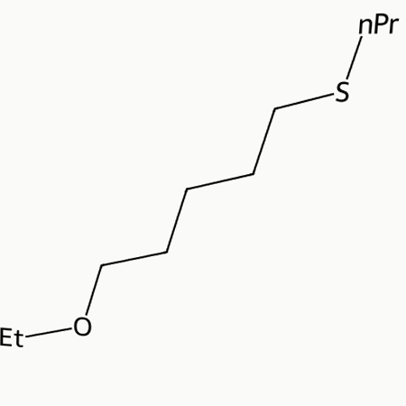 [CH2]CCSCCCCCOC[CH2]